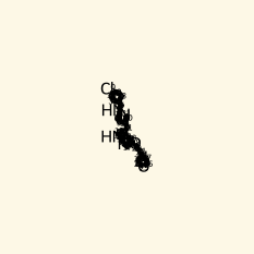 ClC1=CCC(CNc2ccc(Cc3c[nH]c4ncc(OCCN5CCOCC5)cc34)cn2)C=C1